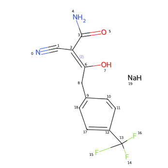 N#C/C(C(N)=O)=C(/O)Cc1ccc(C(F)(F)F)cc1.[NaH]